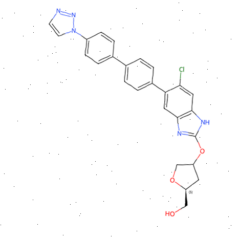 OC[C@@H]1CC(Oc2nc3cc(-c4ccc(-c5ccc(-n6ccnn6)cc5)cc4)c(Cl)cc3[nH]2)CO1